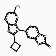 O=c1[nH]c2ccc(-n3c(C4CCC4)nc4ccc(C(F)(F)F)nc43)cc2s1